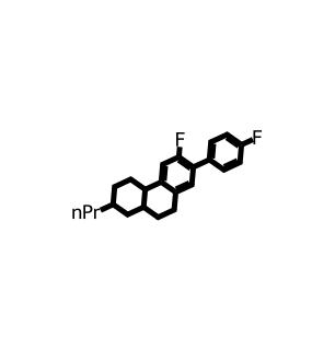 CCCC1CCC2c3cc(F)c(-c4ccc(F)cc4)cc3CCC2C1